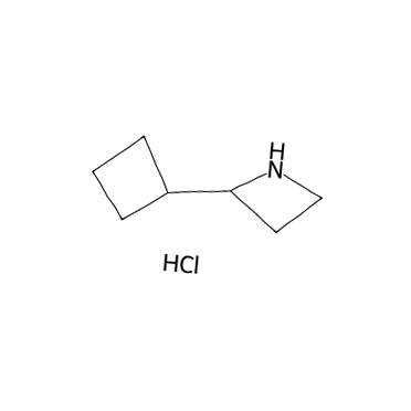 C1CC(C2CCN2)C1.Cl